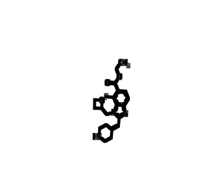 CCOC(=O)c1ccc2nc(C=C3CCNCC3)n(CC3CCO3)c2c1F